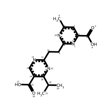 Cc1cc(C(=O)O)nc(CCc2ncc(C(=O)O)c(C(C)C)n2)n1